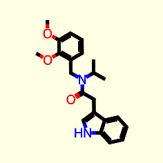 COc1cccc(CN(C(=O)Cc2c[nH]c3ccccc23)C(C)C)c1OC